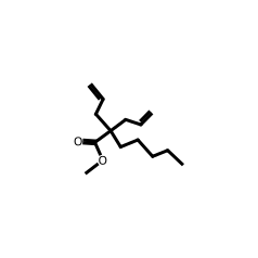 C=CCC(CC=C)(CCCCC)C(=O)OC